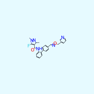 Cc1nn(C)c(F)c1C(=O)Nc1ccccc1-c1ccc(/C=N/OCc2cccnc2)cc1